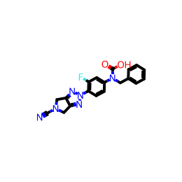 N#CN1Cc2nn(-c3ccc(N(Cc4ccccc4)C(=O)O)cc3F)nc2C1